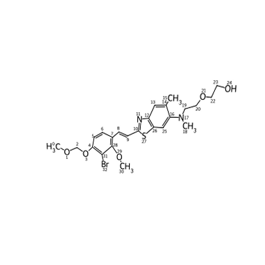 COCOc1ccc(/C=C/c2nc3cc(C)c(N(C)CCOCCO)cc3s2)c(OC)c1Br